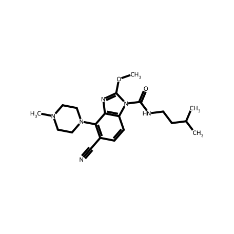 COc1nc2c(N3CCN(C)CC3)c(C#N)ccc2n1C(=O)NCCC(C)C